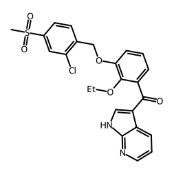 CCOc1c(OCc2ccc(S(C)(=O)=O)cc2Cl)cccc1C(=O)c1c[nH]c2ncccc12